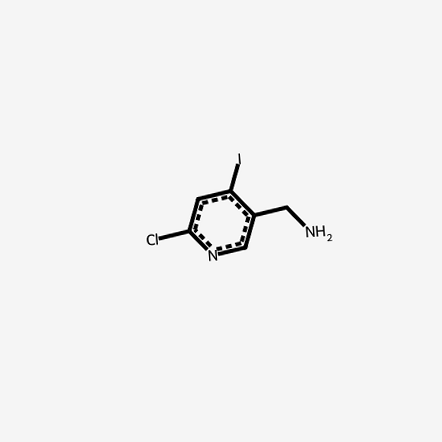 NCc1cnc(Cl)cc1I